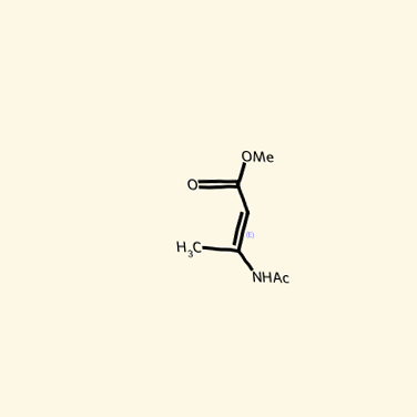 COC(=O)/C=C(\C)NC(C)=O